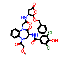 COCC(=O)N1C[C@H](NC(=O)c2cc(Cl)c(O)c(Cl)c2)C(=O)N(CC(=O)N[C@H]2CC(=O)OC2OCc2ccccc2)c2ccccc21